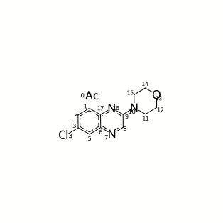 CC(=O)c1cc(Cl)cc2ncc(N3CCOCC3)nc12